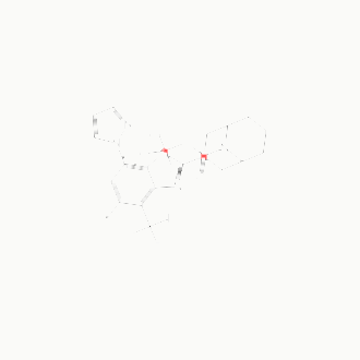 CC(C)(C)OC(=O)N1C2CCCC1CN(c1nc3c(C(F)(F)F)c(Cl)cc(-n4cccn4)c3o1)C2